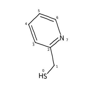 SCc1[c]cccn1